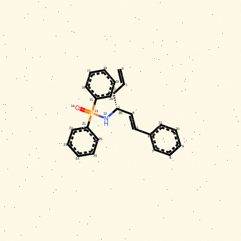 C=CC[C@H](C=Cc1ccccc1)NP(=O)(c1ccccc1)c1ccccc1